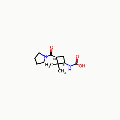 CC1(C)[C@@H](C(=O)N2CCCC2)C[C@H]1NC(=O)O